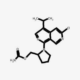 CC(C)c1cnc(N2CCCC2COC(N)=O)c2cnc(Cl)cc12